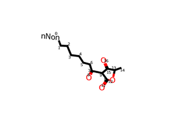 CCCCCCCCCCCCCCCC(=O)C1C(=O)OC(C)C1=O